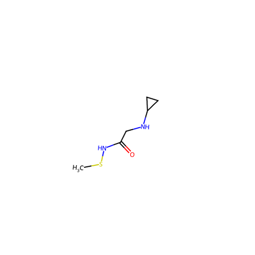 CSNC(=O)CNC1CC1